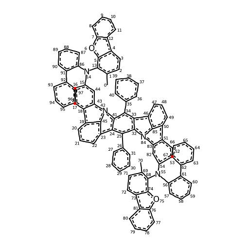 Cc1ccc2c(oc3ccccc32)c1N(c1ccc2c3cccc4c5c(-c6ccccc6)c6c(c(-c7ccccc7)c5n(c2c1)c34)c1cccc2c3ccc(N(c4ccccc4-c4ccccc4)c4c(C)ccc5c4oc4ccccc45)cc3n6c21)c1ccccc1-c1ccccc1